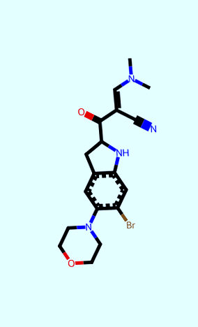 CN(C)/C=C(\C#N)C(=O)C1Cc2cc(N3CCOCC3)c(Br)cc2N1